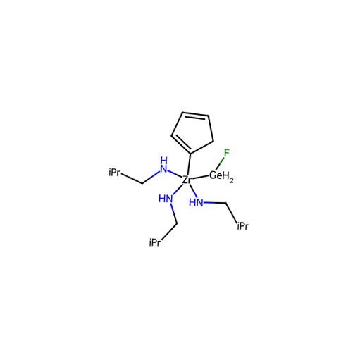 CC(C)C[NH][Zr]([NH]CC(C)C)([NH]CC(C)C)([GeH2][F])[C]1=CC=CC1